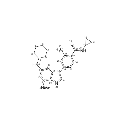 CNc1cc(NC2CCCCC2)nc2c(-c3ccc(C(=O)NC4CC4)c(C)c3)cnn12